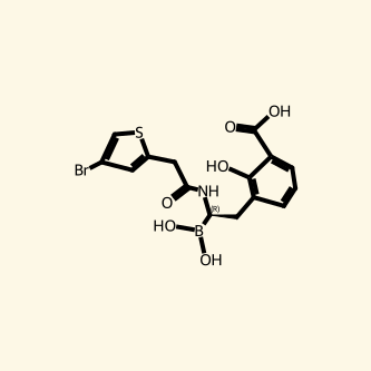 O=C(Cc1cc(Br)cs1)N[C@@H](Cc1cccc(C(=O)O)c1O)B(O)O